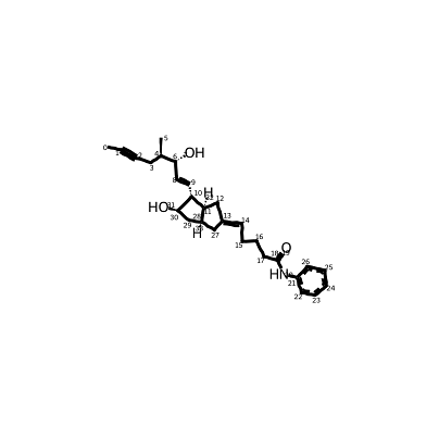 CC#CC[C@@H](C)[C@H](O)/C=C/[C@@H]1[C@H]2C/C(=C/CCCC(=O)Nc3ccccc3)C[C@H]2C[C@H]1O